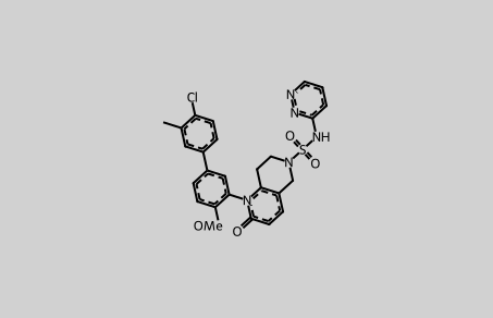 COc1ccc(-c2ccc(Cl)c(C)c2)cc1-n1c2c(ccc1=O)CN(S(=O)(=O)Nc1cccnn1)CC2